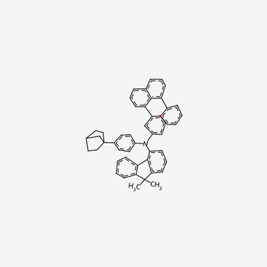 CC1(C)c2ccccc2-c2c(N(c3ccc(C45CCC(CC4)C5)cc3)c3cccc(-c4cccc5cccc(-c6ccccc6)c45)c3)cccc21